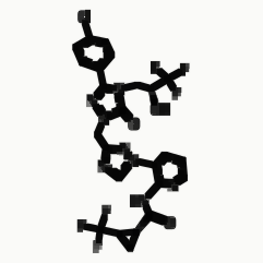 O=C(Nc1ncccc1-n1cnc(Cn2nc(-c3ccc(Cl)cc3)n(C[C@H](O)C(F)(F)F)c2=O)n1)[C@H]1CC1C(F)(F)F